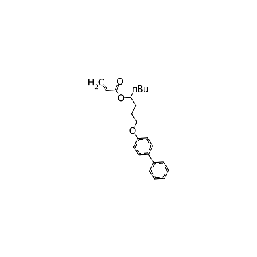 C=CC(=O)OC(CCCC)CCCOc1ccc(-c2ccccc2)cc1